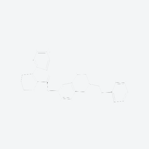 O=C(Nc1ccc2c(c1)CCN(CCc1ccccc1)C2)C1=C(c2ccc(C(F)(F)F)cc2)CCCC1